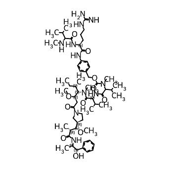 CC[C@H](C)[C@@H]([C@@H](CC(=O)N1CC[C@@H]([C@H](OC)[C@@H](C)C(=O)N[C@H](C)[C@@H](O)c2ccccc2)C1)OC)N(C)C(=O)[C@@H](NC(=O)C(C(C)C)N(C)C(=O)OCc1ccc(NC(=O)[C@H](CCCNC(=N)N)NC(=O)C(NC)C(C)C)cc1)C(C)C